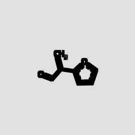 C=C(C=O)c1ccco1